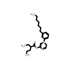 CCCCCCCc1cccc(N2C=C(OC(=O)C(CC)CCC)N=CC2)c1